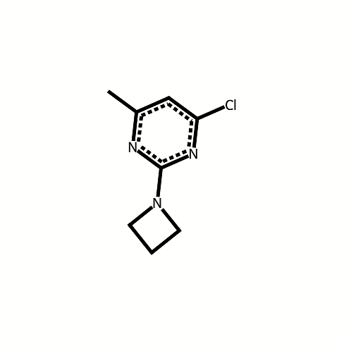 Cc1cc(Cl)nc(N2CCC2)n1